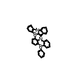 c1ccc(B2c3ccccc3N3c4c2cccc4B2c4ccccc4-n4c2c3c2ccccc24)cc1